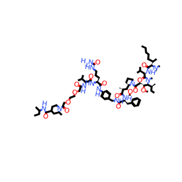 CCCCCC(C)[C@@H](C(=O)N[C@H](C(=O)N(C)[C@@H]([C@@H](C)CC)[C@@H](CC(=O)N1CCC[C@H]1[C@H](OC)[C@@H](C)C(=O)N[C@@H](Cc1ccccc1)C(=O)NCc1ccc(NC(=O)[C@H](CCCNC(N)=O)NC(=O)[C@@H](NC(=O)COCCOCC(=O)N2CCC(C(=O)NC(C)CC)CC2C)C(C)C)cc1)OC)C(C)C)N(C)C